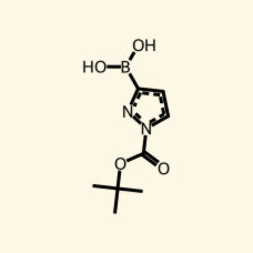 CC(C)(C)OC(=O)n1ccc(B(O)O)n1